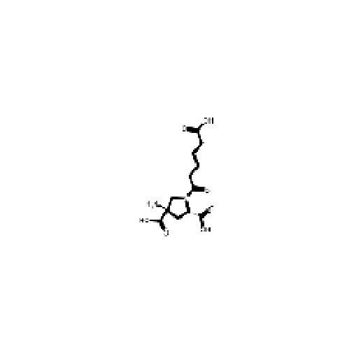 N[C@]1(C(=O)O)C[C@@H](C(=O)O)N(C(=O)CCCCC(=O)O)C1